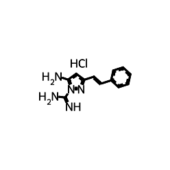 Cl.N=C(N)n1nc(C=Cc2ccccc2)cc1N